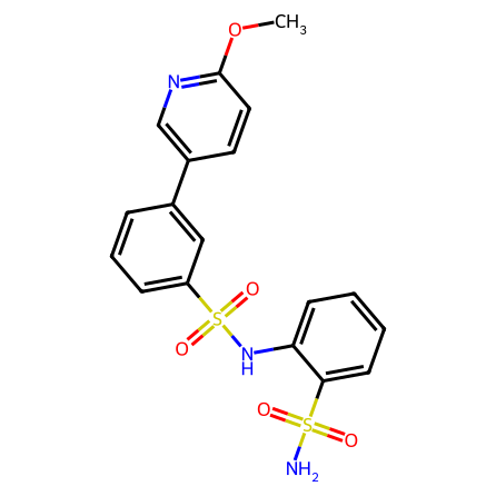 COc1ccc(-c2cccc(S(=O)(=O)Nc3ccccc3S(N)(=O)=O)c2)cn1